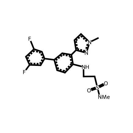 CNS(=O)(=O)CCNc1ccc(-c2cc(F)cc(F)c2)cc1-c1ccn(C)n1